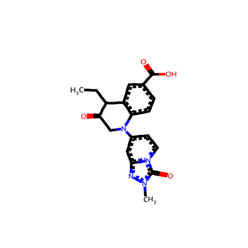 CCC1C(=O)CN(c2ccn3c(=O)n(C)nc3c2)c2ccc(C(=O)O)cc21